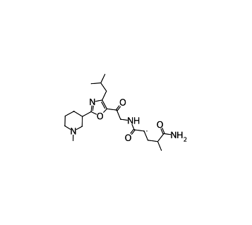 CC(C)Cc1nc(C2CCCN(C)C2)oc1C(=O)CNC(=O)[CH]CC(C)C(N)=O